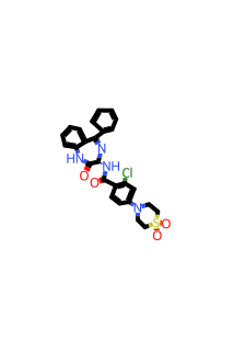 O=C(N[C@H]1N=C(c2ccccc2)c2ccccc2NC1=O)c1ccc(N2CCS(=O)(=O)CC2)cc1Cl